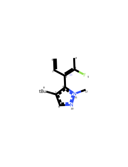 C=C/C(=C(\C)F)c1c(C(C)(C)C)cnn1C